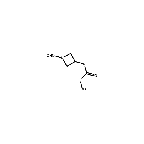 CC(C)(C)OC(=O)NC1CN(C=O)C1